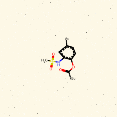 CC(=O)c1ccc(OC(=O)C(C)(C)C)c(NS(C)(=O)=O)c1